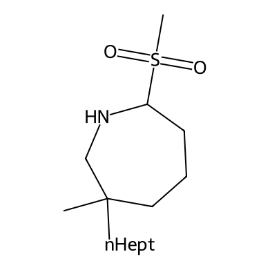 CCCCCCCC1(C)CCCC(S(C)(=O)=O)NC1